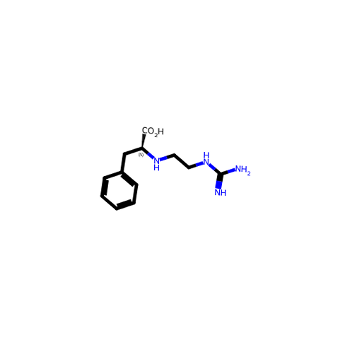 N=C(N)NCCN[C@@H](Cc1ccccc1)C(=O)O